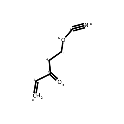 C=CC(=O)CCOC#N